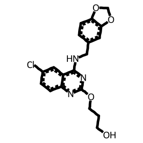 OCCCOc1nc(NCc2ccc3c(c2)OCO3)c2cc(Cl)ccc2n1